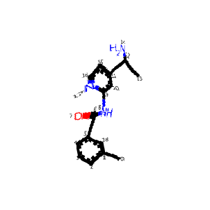 Cc1cccc(C(=O)Nc2cc(C(C)N)ccn2)c1